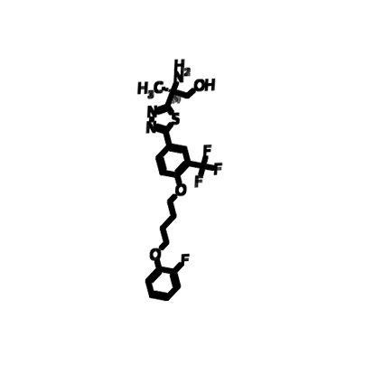 C[C@](N)(CO)c1nnc(-c2ccc(OCCCCOc3ccccc3F)c(C(F)(F)F)c2)s1